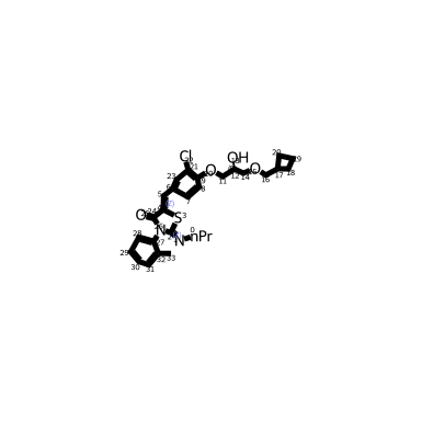 CCC/N=C1\S/C(=C\c2ccc(OC[C@H](O)COCC3CCC3)c(Cl)c2)C(=O)N1c1ccccc1C